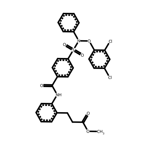 COC(=O)CCc1ccccc1NC(=O)c1ccc(S(=O)(=O)N(Oc2ccc(Cl)cc2Cl)c2ccccc2)cc1